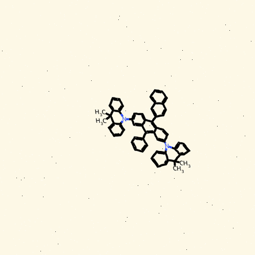 CC1(C)c2ccccc2N(c2ccc3c(-c4ccc5ccccc5c4)c4ccc(N5c6ccccc6C(C)(C)c6ccccc65)cc4c(-c4ccccc4)c3c2)c2ccccc21